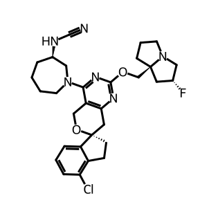 N#CN[C@@H]1CCCCN(c2nc(OC[C@@]34CCCN3C[C@H](F)C4)nc3c2CO[C@@]2(CCc4c(Cl)cccc42)C3)C1